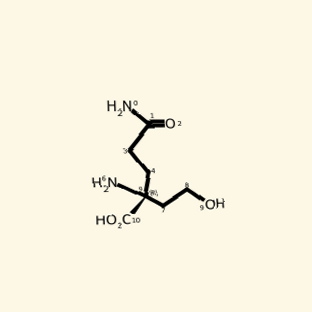 NC(=O)CC[C@@](N)(CCO)C(=O)O